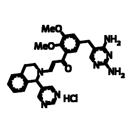 COc1cc(Cc2cnc(N)nc2N)cc(C(=O)/C=C/N2CCc3ccccc3C2c2cncnc2)c1OC.Cl